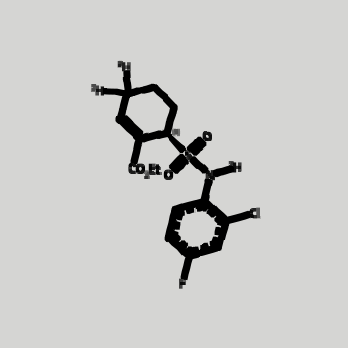 [2H]N(c1ccc(F)cc1Cl)S(=O)(=O)[C@@H]1CCC([2H])([2H])C=C1C(=O)OCC